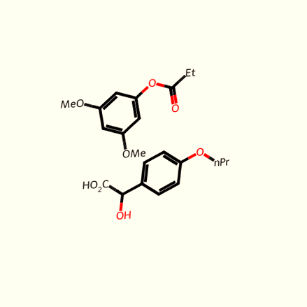 CCC(=O)Oc1cc(OC)cc(OC)c1.CCCOc1ccc(C(O)C(=O)O)cc1